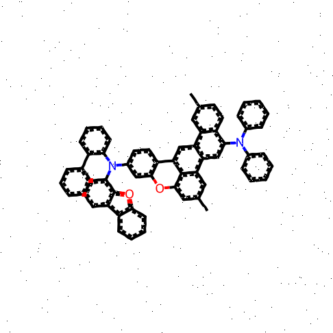 Cc1ccc2c(N(c3ccccc3)c3ccccc3)cc3c4cc(C)cc5c4c(cc3c2c1)-c1ccc(N(c2ccccc2-c2ccccc2)c2cccc3c2oc2ccccc23)cc1O5